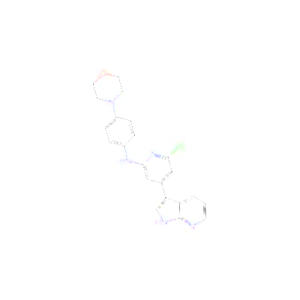 Clc1cc(-c2c[nH]c3ncccc23)cc(Nc2ccc(N3CCOCC3)cc2)n1